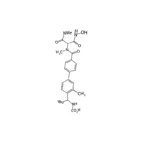 CNC(=O)C(C(=O)NO)N(C)C(=O)c1ccc(-c2ccc(C(NC(=O)O)C(C)(C)C)c(C)c2)cc1